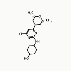 C[C@@H]1CN(c2cc(Cl)nc(NC3CCC(O)CC3)n2)C[C@H](C)O1